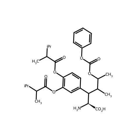 CC(C)C(C)C(=O)Oc1ccc(C(C(C)C(C)OC(=O)Oc2ccccc2)[C@H](N)C(=O)O)cc1OC(=O)C(C)C(C)C